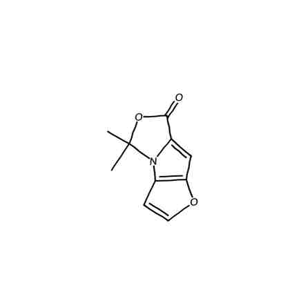 CC1(C)OC(=O)c2cc3occc3n21